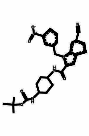 CC(C)(C)OC(=O)NC1CCC(NC(=O)c2cc3ccc(C#N)cc3n2Cc2cccc([N+](=O)[O-])c2)CC1